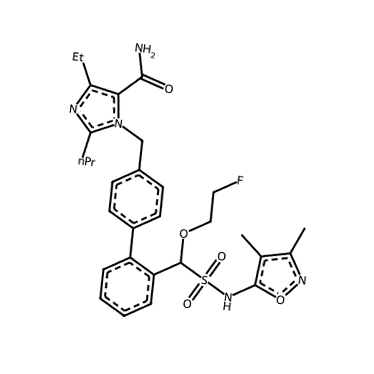 CCCc1nc(CC)c(C(N)=O)n1Cc1ccc(-c2ccccc2C(OCCF)S(=O)(=O)Nc2onc(C)c2C)cc1